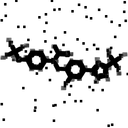 CC(=O)N(Cc1ccc(-c2nnc(C(F)(F)F)o2)cc1F)c1ccc(OC(F)(F)F)cc1